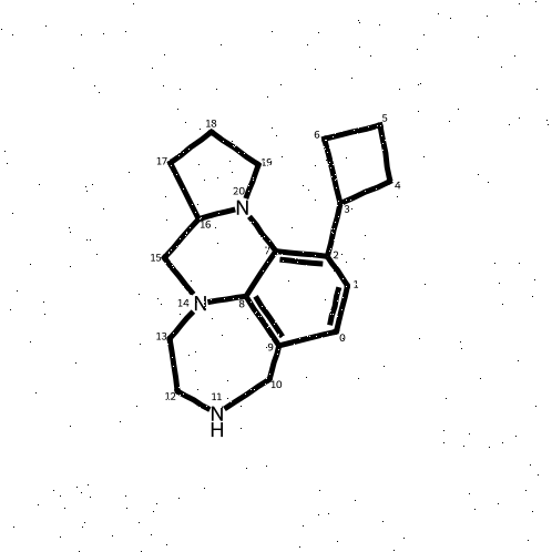 c1cc(C2CCC2)c2c3c1CNCCN3CC1CCCN21